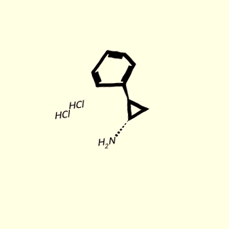 Cl.Cl.N[C@H]1C[C@@H]1c1ccccc1